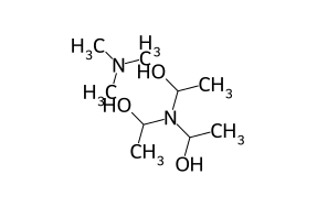 CC(O)N(C(C)O)C(C)O.CN(C)C